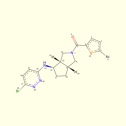 CC(=O)c1ccc(C(=O)N2C[C@@H]3CC[C@@H](Nc4ccc(Br)nn4)[C@@H]3C2)s1